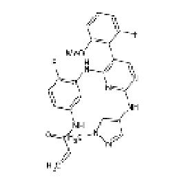 C=CC(=O)Nc1ccc(F)c(Nc2nc(Nc3cnn(C)c3)ncc2-c2c(F)cccc2OC)c1